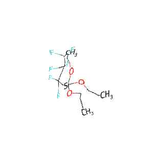 CCO[Si](OCC)(OCC)C(F)(F)C(F)(F)C(F)F